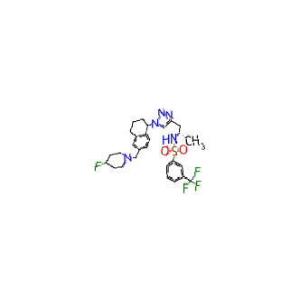 C[C@@H](Cc1cn([C@@H]2CCCc3cc(CN4CCC(F)CC4)ccc32)nn1)NS(=O)(=O)c1cccc(C(F)(F)F)c1